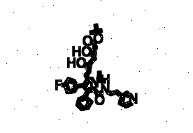 CC(C)n1c(CC[C@@H](O)C[C@@H](O)CC(=O)OC(C)(C)C)c(-c2ccc(F)cc2)c(-c2ccccc2)c1C(=O)NCCc1cccnc1